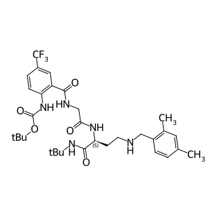 Cc1ccc(CNCC[C@H](NC(=O)CNC(=O)c2cc(C(F)(F)F)ccc2NC(=O)OC(C)(C)C)C(=O)NC(C)(C)C)c(C)c1